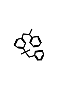 CC(Cc1cccc(C(C)(C)Cc2ccccc2)c1)c1ccccc1